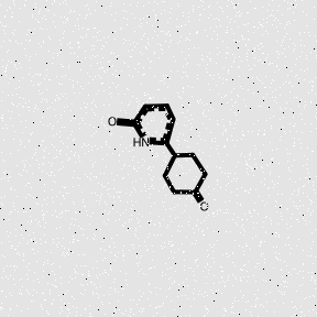 O=C1CCC(c2cccc(=O)[nH]2)CC1